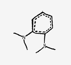 CN(C)c1c[c]ccc1N(C)C